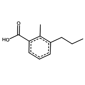 CCCc1cccc(C(=O)O)c1C